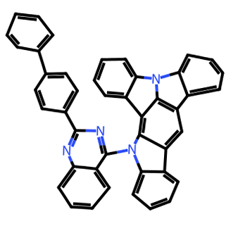 c1ccc(-c2ccc(-c3nc(-n4c5ccccc5c5cc6c7ccccc7n7c8ccccc8c(c54)c67)c4ccccc4n3)cc2)cc1